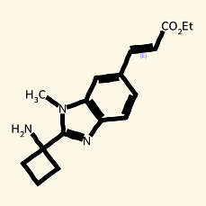 CCOC(=O)/C=C/c1ccc2nc(C3(N)CCC3)n(C)c2c1